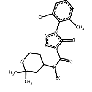 CCN(C(=O)n1nnn(-c2c(C)cccc2Cl)c1=O)C1CCOC(C)(C)C1